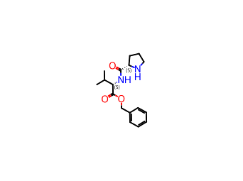 CC(C)[C@H](NC(=O)[C@@H]1CCCN1)C(=O)OCc1ccccc1